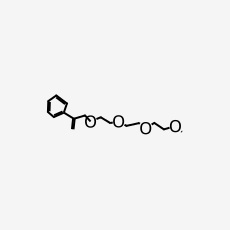 C=C(COCCOCCOCCOC)c1ccccc1